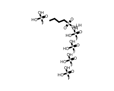 CCCCS(=O)(=O)O.O=P(O)(O)F.O=P(O)(O)F.O=P(O)(O)F.O=P(O)(O)F.O=P(O)(O)F.[LiH]